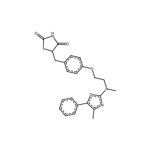 Cc1nc(N(C)CCOc2ccc(CC3SC(=O)NC3=O)cc2)oc1-c1ccccc1